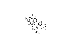 COc1ccc(-c2nc(C=O)c(C)n2COC(C)=O)cc1-c1c(C)cccc1C